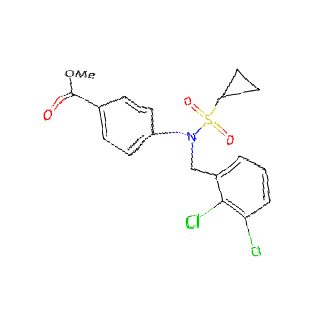 COC(=O)c1ccc(N(Cc2cccc(Cl)c2Cl)S(=O)(=O)C2CC2)cc1